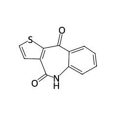 O=c1[nH]c2ccccc2c(=O)c2sccc12